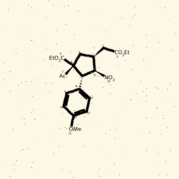 CCOC(=O)C[C@@H]1C[C@@](C(C)=O)(C(=O)OCC)[C@@H](c2ccc(OC)cc2)[C@@H]1[N+](=O)[O-]